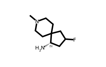 CN1CCC2(CC1)CC(F)C[C@@H]2N